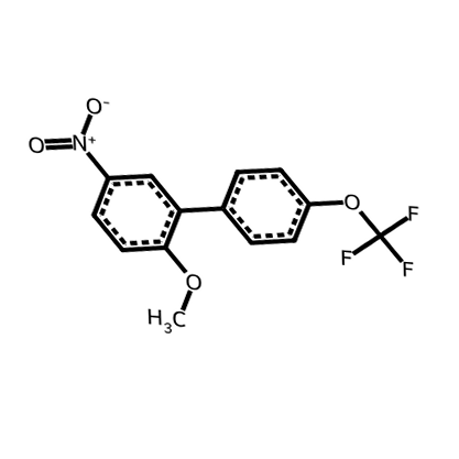 COc1ccc([N+](=O)[O-])cc1-c1ccc(OC(F)(F)F)cc1